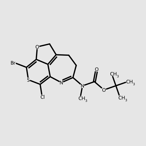 CN(C(=O)OC(C)(C)C)C1=NC2=C(Cl)SC(Br)=C3OCC(=C23)CC1